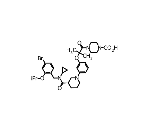 CC(C)Oc1cc(Br)ccc1CN(C(=O)[C@@H]1CCCN(c2cccc(OC(C)(C)C(=O)N3CCN(C(=O)O)CC3)c2)C1)C1CC1